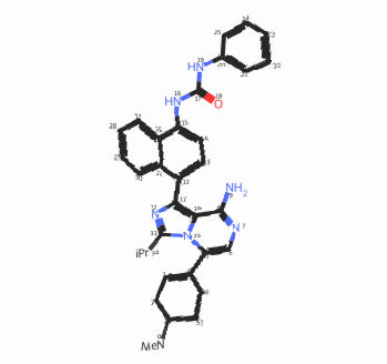 CNC1CC=C(c2cnc(N)c3c(-c4ccc(NC(=O)Nc5ccccc5)c5ccccc45)nc(C(C)C)n23)CC1